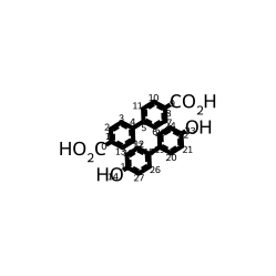 O=C(O)c1ccc(-c2ccc(C(=O)O)cc2)cc1.Oc1ccc(-c2ccc(O)cc2)cc1